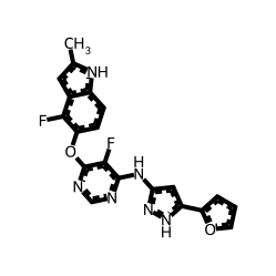 Cc1cc2c(F)c(Oc3ncnc(Nc4cc(-c5ccco5)[nH]n4)c3F)ccc2[nH]1